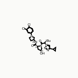 CC(C)(C)C(C(=O)N1C[C@H](O)C[C@H]1C(=O)NC1CCN(c2ccc(Cl)c(Cl)c2)C1)n1cc(C2CC2)nn1